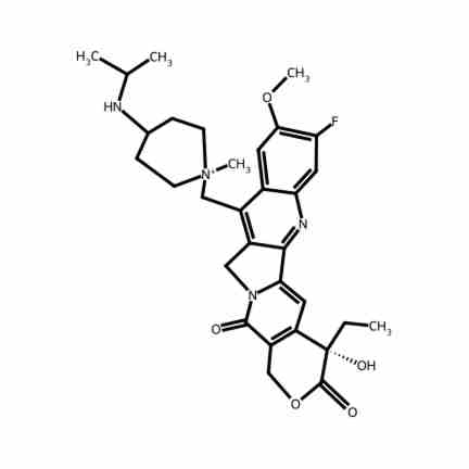 CC[C@@]1(O)C(=O)OCc2c1cc1n(c2=O)Cc2c-1nc1cc(F)c(OC)cc1c2C[N+]1(C)CCC(NC(C)C)CC1